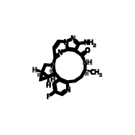 C[C@@H]1CCc2ncc(F)cc2[C@@H]2[C@@H]3C[C@@H]3CN2c2ccn3nc(N)c(c3n2)C(=O)N1